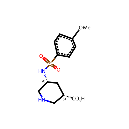 COc1ccc(S(=O)(=O)N[C@H]2CNC[C@@H](C(=O)O)C2)cc1